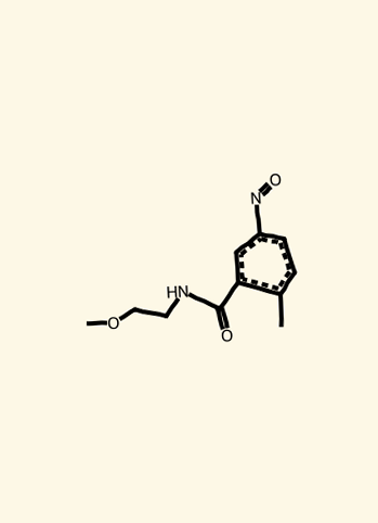 COCCNC(=O)c1cc(N=O)ccc1C